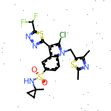 Cc1nc(C)c(Cn2c(Cl)c(-c3nnc(C(F)F)s3)c3cc(S(=O)(=O)NC4(C)CC4)ccc32)s1